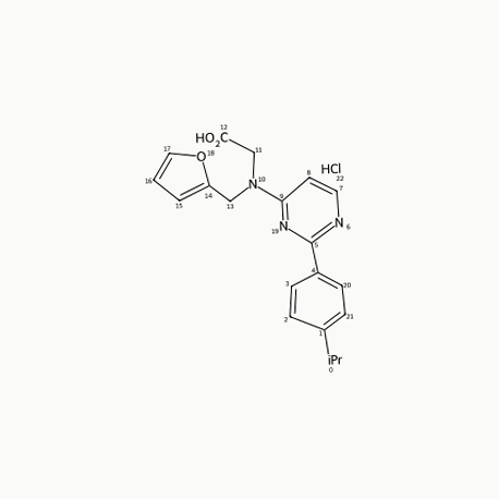 CC(C)c1ccc(-c2nccc(N(CC(=O)O)Cc3ccco3)n2)cc1.Cl